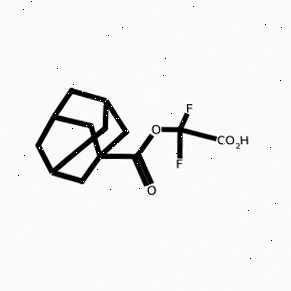 O=C(OC(F)(F)C(=O)O)C12CC3CC(CC(C3)C1)C2